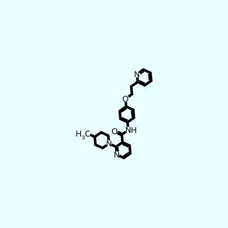 CC1CCN(c2ncccc2C(=O)Nc2ccc(OCCc3ccccn3)cc2)CC1